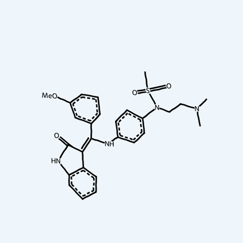 COc1cccc(C(Nc2ccc(N(CCN(C)C)S(C)(=O)=O)cc2)=C2C(=O)Nc3ccccc32)c1